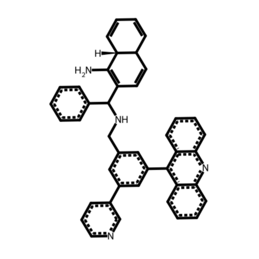 NC1=C(C(NCc2cc(-c3cccnc3)cc(-c3c4ccccc4nc4ccccc34)c2)c2ccccc2)C=CC2C=CC=C[C@@H]12